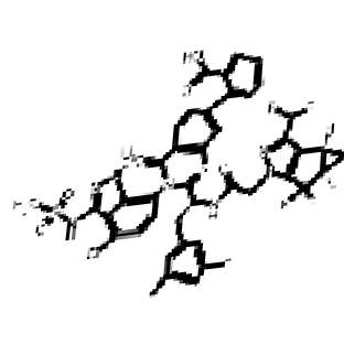 Cn1nc(NS(C)(=O)=O)c2c(Cl)ccc(-n3c([C@H](Cc4cc(F)cc(F)c4)NC(=O)Cn4nc(C(F)F)c5c4C(F)(F)[C@@H]4C[C@H]54)nc4cc(-c5ccccc5C(=O)O)ccc4c3=O)c21